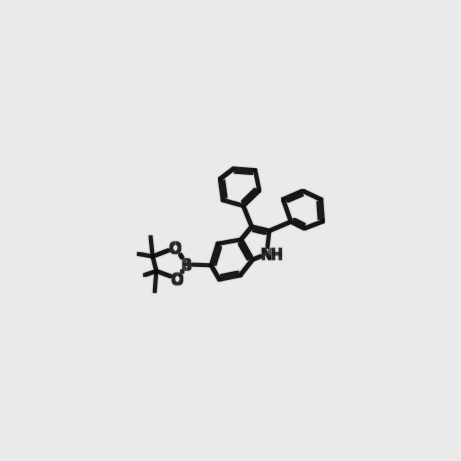 CC1(C)OB(c2ccc3[nH]c(-c4ccccc4)c(-c4ccccc4)c3c2)OC1(C)C